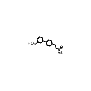 CC[PH](=O)CCc1ccc(-c2cccc(CO)c2)cc1